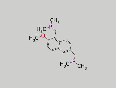 COc1ccc2cc(CP(C)C)ccc2c1CP(C)C